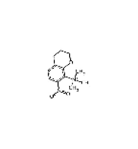 C[N+](C)(C)c1c([N+](=O)[O-])ccc2c1OCCC2